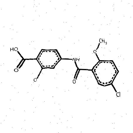 COc1ccc(Cl)cc1C(=O)Nc1ccc(C(=O)O)c(Cl)c1